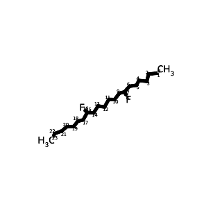 CCCCCCCC(F)CCCCCCC(F)CCCCCCC